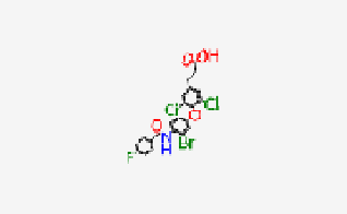 O=C(O)CCc1cc(Cl)c(Oc2ccc(NC(=O)c3ccc(F)cc3)c(Br)c2)c(Cl)c1